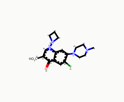 CN1CCN(c2cc3c(cc2F)c(=O)c(C(=O)O)cn3N2CCC2)CC1